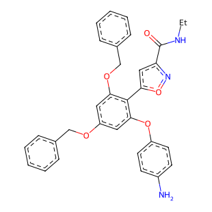 CCNC(=O)c1cc(-c2c(OCc3ccccc3)cc(OCc3ccccc3)cc2Oc2ccc(N)cc2)on1